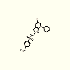 Cc1ccc(S(=O)(=O)OCC2Cc3cc(F)cc(-c4ccccc4)c3O2)cc1